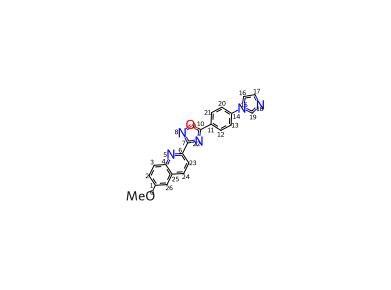 COc1ccc2nc(-c3noc(-c4ccc(-n5ccnc5)cc4)n3)ccc2c1